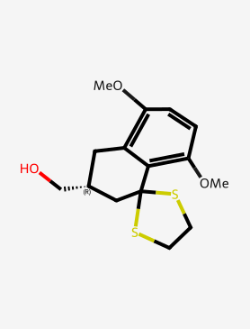 COc1ccc(OC)c2c1C[C@@H](CO)CC21SCCS1